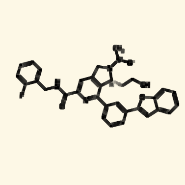 C[S+]([O-])N1Cc2cc(C(=O)NCc3ccccc3F)nc(-c3cccc(-c4cc5ccccc5o4)c3)c2[C@H]1CCO